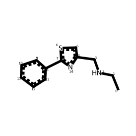 CCNCc1csc(-c2ccccc2)n1